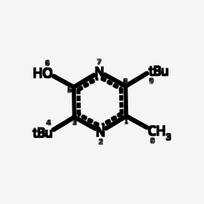 Cc1nc(C(C)(C)C)c(O)nc1C(C)(C)C